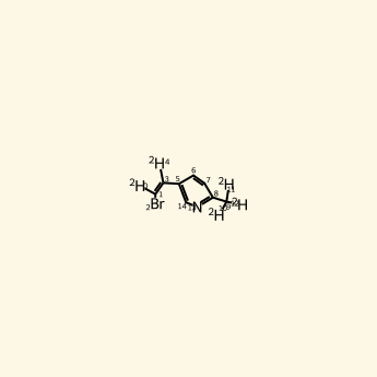 [2H]C(Br)=C([2H])c1ccc(C([2H])([2H])[2H])nc1